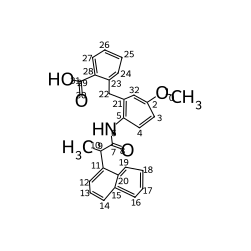 COc1ccc(NC(=O)C(C)c2cccc3ccccc23)c(Cc2ccccc2C(=O)O)c1